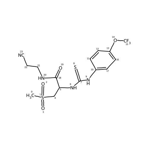 CS(=O)(=O)CC(NC(=S)Nc1ccc(OC(F)(F)F)cc1)C(=O)NCCC#N